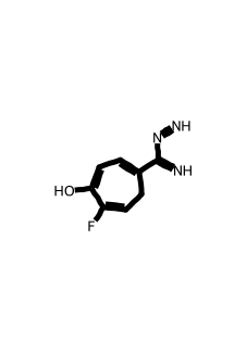 N=NC(=N)C1=CC=C(O)C(F)=CC1